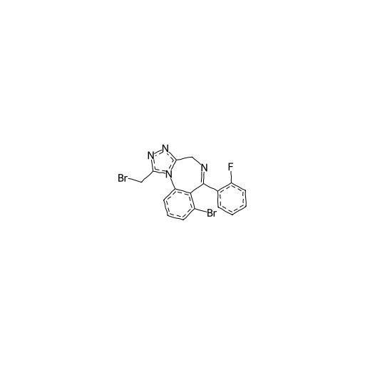 Fc1ccccc1C1=NCc2nnc(CBr)n2-c2cccc(Br)c21